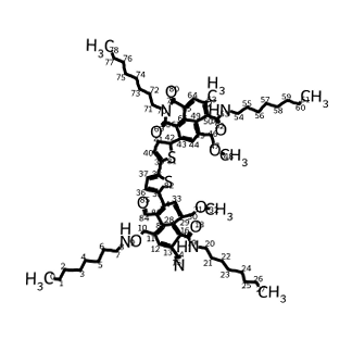 CCCCCCCCNOCc1cc(C#N)c(C(=O)NCCCCCCCC)c2c(COC)cc(-c3ccc(C4=CCC(c5cc(COC)c6c(C(=O)NCCCCCCCC)c(C)cc7c6c5C(=O)N(CCCCCCCC)C7=O)S4)s3)c(C=O)c12